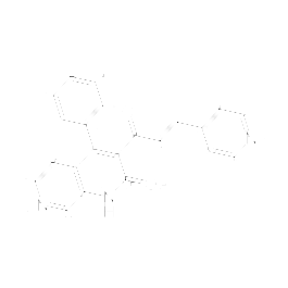 O=C(C=Cc1ccncc1)c1c(-c2ccccc2)c2ccncc2[nH]c1=O